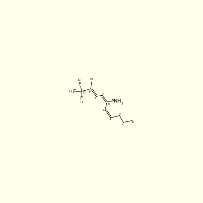 CCC\C=C/C(N)=C\C=C(/C)C(F)(F)F